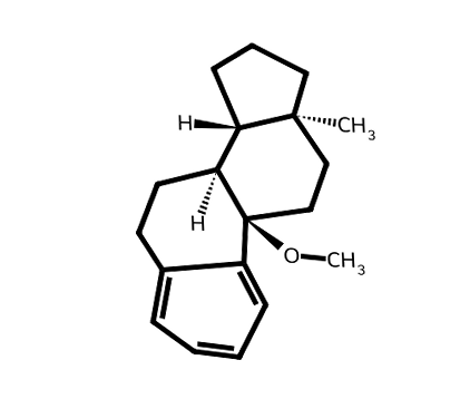 CO[C@]12CC[C@]3(C)CCC[C@H]3[C@@H]1CCc1ccccc12